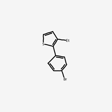 CCc1ccsc1-c1ccc(Br)cc1